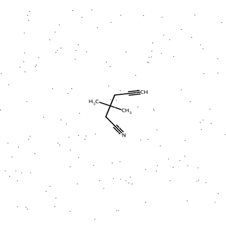 C#CCC(C)(C)CC#N